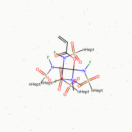 C=CC(=O)OC(N(F)S(=O)(=O)CCCCCCC)(C(N(F)S(=O)(=O)CCCCCCC)(N(F)S(=O)(=O)CCCCCCC)N(F)S(=O)(=O)CCCCCCC)[N+](C)(F)S(=O)(=O)CCCCCCC